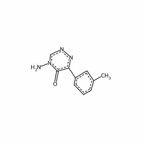 Cc1cccc(-c2nncn(N)c2=O)c1